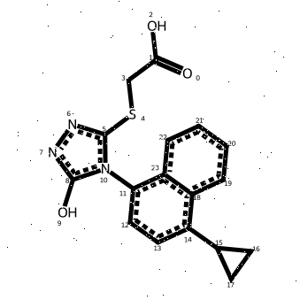 O=C(O)CSc1nnc(O)n1-c1ccc(C2CC2)c2ccccc12